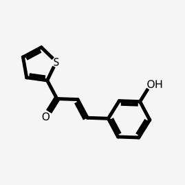 O=C(C=Cc1cccc(O)c1)c1cccs1